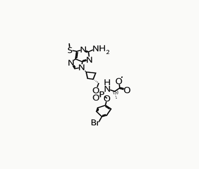 COC(=O)[C@H](C)NP(=O)(OC[C@H]1C[C@@H](n2cnc3c(SC)nc(N)nc32)C1)Oc1ccc(Br)cc1